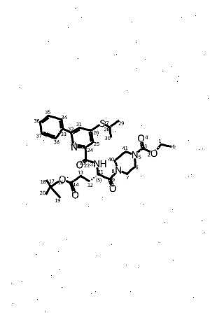 CCOC(=O)N1CCN(C(=O)[C@H](CCC(=O)OC(C)(C)C)NC(=O)c2cc(SC(C)C)cc(-c3ccccc3)n2)CC1